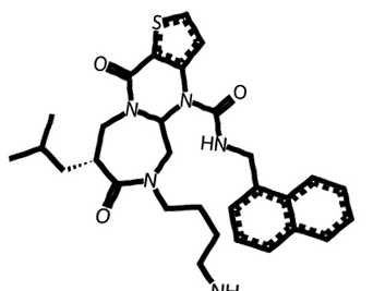 CC(C)C[C@@H]1CN2C(=O)c3sccc3N(C(=O)NCc3cccc4ccccc34)C2CN(CCCCN)C1=O